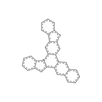 c1ccc2cc3c(cc2c1)c1cc2sc4ccccc4c2cc1n1c2ccccc2cc31